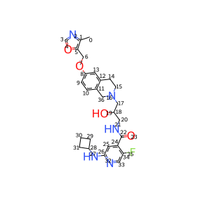 Cc1ncoc1COc1ccc2c(c1)CCN(CC(O)CNC(=O)c1cc(NC3CCC3)ncc1F)C2